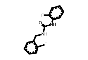 O=C(NCc1ccccc1F)Nc1ccccc1F